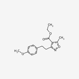 CCOC(=O)c1c(CCc2ccc(OC)cc2)noc1C